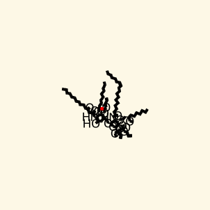 C=CCOC(=O)O[C@@H]1C(CO[C@@H]2O[C@H](COC)[C@@H](OP(=O)(OCC=C)OCC=C)[C@H](OCC[C@@H](CCCCCCC)OC)[C@H]2NC(=O)CCCCCCCCC/C=C\CCCCCC)CC(O)[C@H](NC(=O)CC(=O)CCCCCCCCCCC)[C@H]1OCCCCCCCCCC